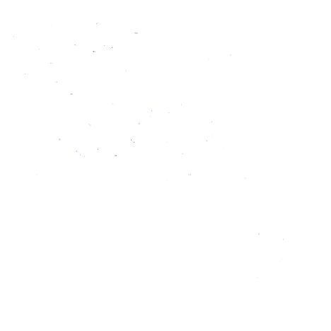 CCOC(=O)CCCCCOC(=O)N1c2ccc(C(F)(F)F)cc2[C@@H](Nc2ncc(N3CCOCC3)c(Cc3cc(C(F)(F)F)cc(C(F)(F)F)c3)n2)C[C@H]1CC